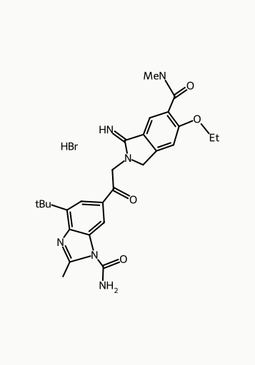 Br.CCOc1cc2c(cc1C(=O)NC)C(=N)N(CC(=O)c1cc(C(C)(C)C)c3nc(C)n(C(N)=O)c3c1)C2